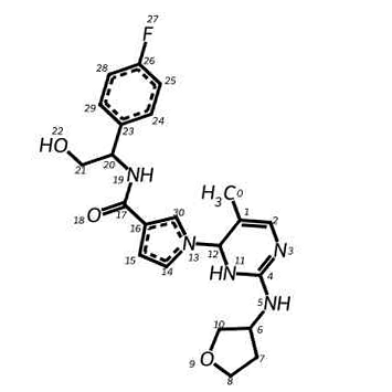 CC1=CN=C(NC2CCOC2)NC1n1ccc(C(=O)NC(CO)c2ccc(F)cc2)c1